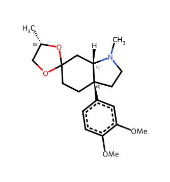 COc1ccc([C@]23CCN(C)[C@H]2CC2(CC3)OC[C@H](C)O2)cc1OC